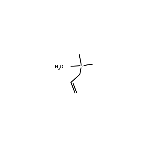 C=CC[Si](C)(C)C.O